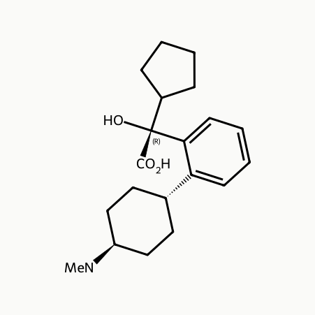 CN[C@H]1CC[C@H](c2ccccc2[C@@](O)(C(=O)O)C2CCCC2)CC1